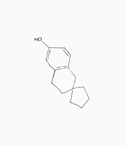 Oc1ccc2c(c1)CCC1(CCCC1)C2